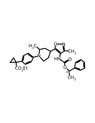 CCOC(=O)C1(c2ccc(N3CCC(c4onc(C)c4NC(=O)O[C@H](C)c4ccccc4)CC3C)cc2)CC1